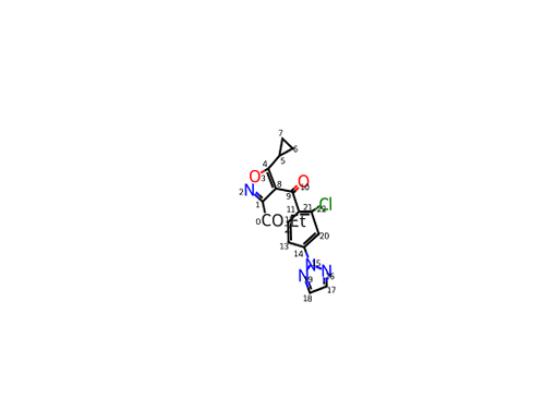 CCOC(=O)c1noc(C2CC2)c1C(=O)c1ccc(-n2nccn2)cc1Cl